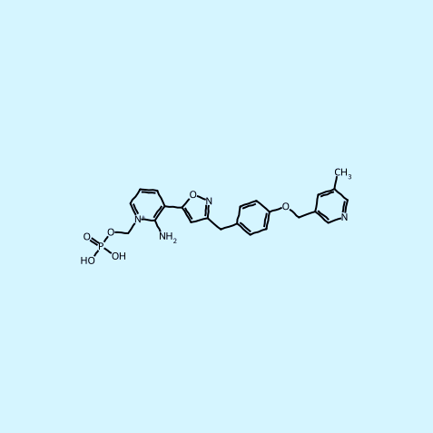 Cc1cncc(COc2ccc(Cc3cc(-c4ccc[n+](COP(=O)(O)O)c4N)on3)cc2)c1